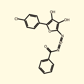 O=C(N=[N+]=Nc1oc(-c2ccc(Cl)cc2)c(O)c1O)c1ccccc1